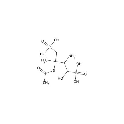 CC(=O)SC(C)(CP(=O)(O)O)C(N)C(O)P(=O)(O)O